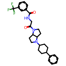 O=C(NCC(=O)N1CCC2C1CCN2C1CCC(c2ccccc2)CC1)c1cccc(C(F)(F)F)c1